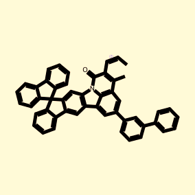 C/C=C\c1c(C)c2cc(-c3cccc(-c4ccccc4)c3)cc3c4cc5c(cc4n(c1=O)c23)C1(c2ccccc2-c2ccccc21)c1ccccc1-5